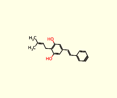 CC(C)=CCc1c(O)cc(/C=C/c2cc#ccc2)cc1O